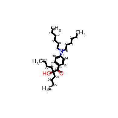 CCCCCCN(CCCCCC)c1ccc(C(=O)C(O)(CCCC)CCCC)cc1